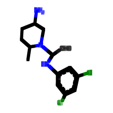 CC1CCC(N)CN1C(C=O)Nc1cc(Cl)cc(Cl)c1